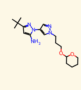 CC(C)(C)c1cc(N)n(-c2cnn(CCCOC3CCCCO3)c2)n1